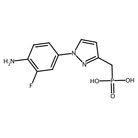 Nc1ccc(-n2ccc(CP(=O)(O)O)n2)cc1F